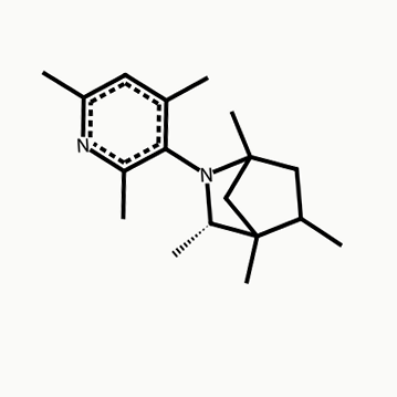 Cc1cc(C)c(N2[C@@H](C)C3(C)CC2(C)CC3C)c(C)n1